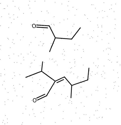 CCC(C)C=C(C=O)C(C)C.CCC(C)C=O